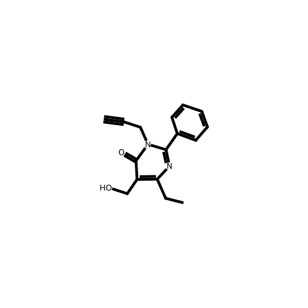 C#CCn1c(-c2ccccc2)nc(CC)c(CO)c1=O